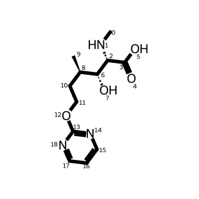 CN[C@H](C(=O)O)[C@H](O)[C@H](C)CCOc1ncccn1